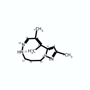 CC1=C(/C)c2cc(C)nn2CCCN/N=C\1